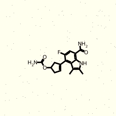 Cc1[nH]c2c(C(N)=O)cc(F)c(C3=CCC(OC(N)=O)C3)c2c1C